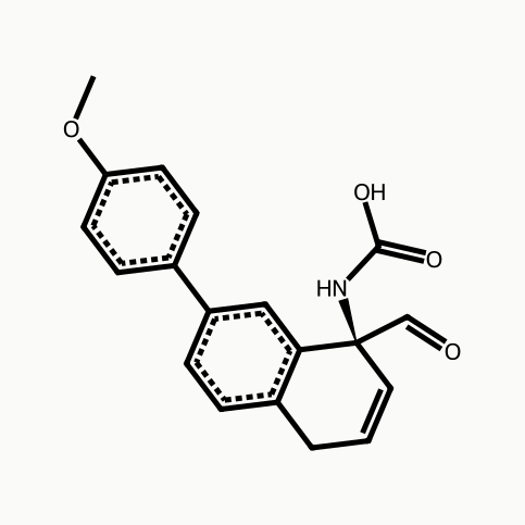 COc1ccc(-c2ccc3c(c2)[C@@](C=O)(NC(=O)O)C=CC3)cc1